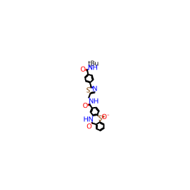 CC(C)(C)NC(=O)c1ccc(-c2ncc(CNC(=O)c3ccc4c(c3)NC(=O)c3ccccc3[S+]4[O-])s2)cc1